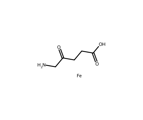 NCC(=O)CCC(=O)O.[Fe]